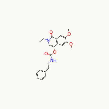 CCn1cc(OC(=O)NCCc2ccccc2)c2cc(OC)c(OC)cc2c1=O